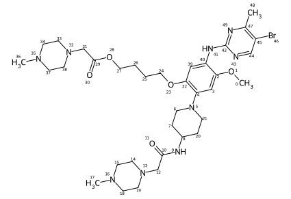 COc1cc(N2CCC(NC(=O)CN3CCN(C)CC3)CC2)c(OCCCCOC(=O)CN2CCN(C)CC2)cc1Nc1ncc(Br)c(C)n1